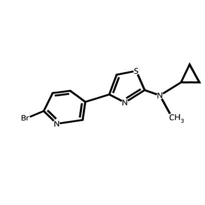 CN(c1nc(-c2ccc(Br)nc2)cs1)C1CC1